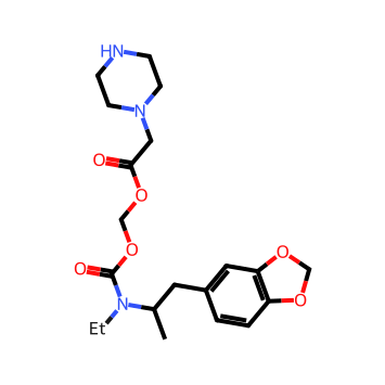 CCN(C(=O)OCOC(=O)CN1CCNCC1)C(C)Cc1ccc2c(c1)OCO2